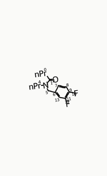 CCCC(=O)N(CCC)Cc1ccc(F)c(F)c1